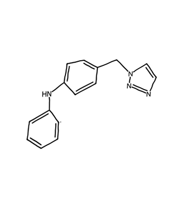 [c]1ccccc1Nc1ccc(Cn2ccnn2)cc1